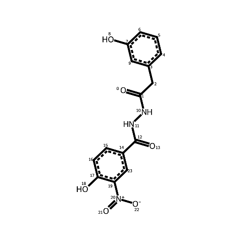 O=C(Cc1cccc(O)c1)NNC(=O)c1ccc(O)c([N+](=O)[O-])c1